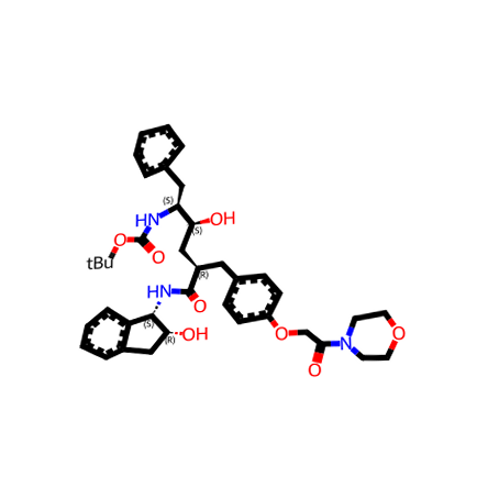 CC(C)(C)OC(=O)N[C@@H](Cc1ccccc1)[C@@H](O)C[C@@H](Cc1ccc(OCC(=O)N2CCOCC2)cc1)C(=O)N[C@H]1c2ccccc2C[C@H]1O